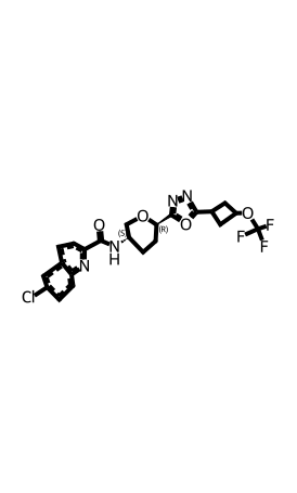 O=C(N[C@H]1CC[C@H](c2nnc(C3CC(OC(F)(F)F)C3)o2)OC1)c1ccc2cc(Cl)ccc2n1